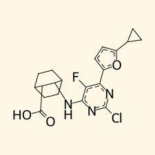 O=C(O)C1C2CCC(CC2)C1Nc1nc(Cl)nc(-c2ccc(C3CC3)o2)c1F